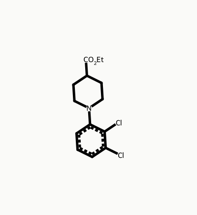 CCOC(=O)C1CCN(c2cccc(Cl)c2Cl)CC1